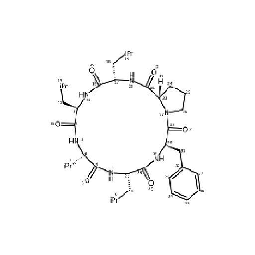 CC(C)C[C@@H]1NC(=O)[C@H](C(C)C)NC(=O)[C@@H](CC(C)C)NC(=O)[C@H](CC(C)C)NC(=O)[C@@H]2CCCN2C(=O)[C@@H](Cc2ccccc2)NC1=O